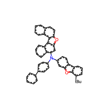 CC(C)(C)c1cccc2c1oc1cc(N(c3ccc(-c4ccccc4)cc3)c3cc4oc5ccc6ccccc6c5c4c4ccccc34)ccc12